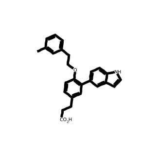 Cc1cccc(CCOc2ccc(CCC(=O)O)cc2-c2ccc3[nH]ccc3c2)c1